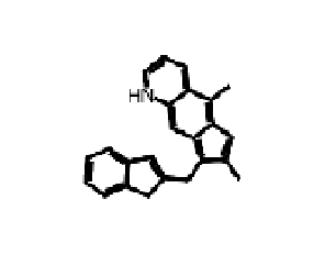 Cc1cc2c(C)c3ccc[nH]c3cc2c1CC1=Cc2ccccc2C1